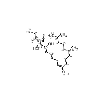 CC(=CCCOC[C@@H](O)[C@H](O)[C@@H](O)[C@@H](O)CO)CCCC(C)CCCC(C)C